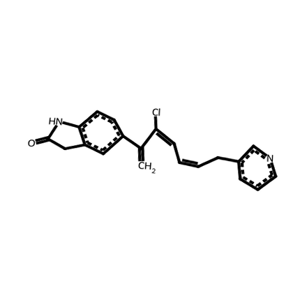 C=C(/C(Cl)=C\C=C/Cc1cccnc1)c1ccc2c(c1)CC(=O)N2